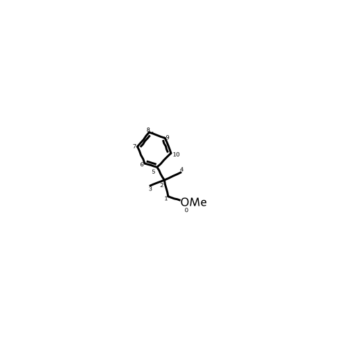 COCC(C)(C)c1cc[c]cc1